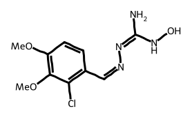 COc1ccc(/C=N\N=C(\N)NO)c(Cl)c1OC